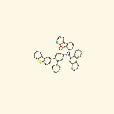 c1ccc(-c2cc(N(c3cc4ccccc4c4ccccc34)c3cccc4c3oc3ccccc34)ccc2-c2ccc3sc4ccccc4c3c2)cc1